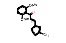 COc1cccc(OC)c1C(=O)/C=C/c1cccc(C(F)(F)F)c1